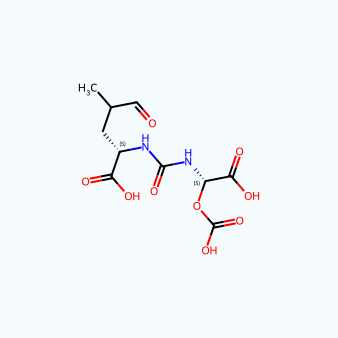 CC(C=O)C[C@H](NC(=O)N[C@@H](OC(=O)O)C(=O)O)C(=O)O